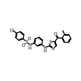 Cc1ccccc1C(=O)c1cnc(Nc2cccc(NS(=O)(=O)c3ccc(Cl)cc3)c2)s1